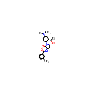 CCC(O)[C@@H]1C[C@H](N(C)C(C)C)CC[C@@H]1N1CCC(NC(=O)c2cccc(C(F)(F)F)c2)C1=O